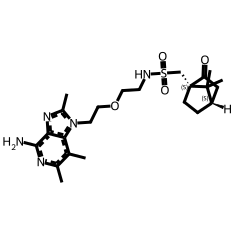 Cc1nc(N)c2nc(C)n(CCOCCNS(=O)(=O)C[C@]34CC[C@@H](CC3=O)C4(C)C)c2c1C